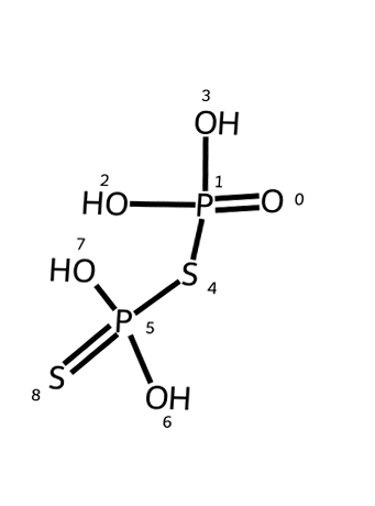 O=P(O)(O)SP(O)(O)=S